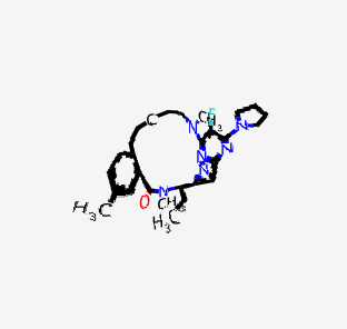 CCC1c2cc3nc(N4CCCC4)c(F)c(n3n2)N(C)CCCCCc2ccc(C)cc2C(=O)N1C